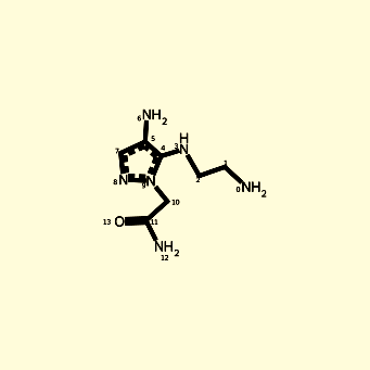 NCCNc1c(N)cnn1CC(N)=O